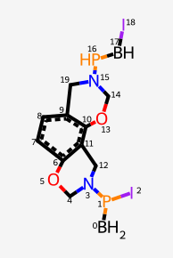 BP(I)N1COc2ccc3c(c2C1)OCN(PBI)C3